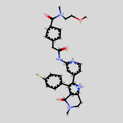 COCCN(C)C(=O)c1ccc(CC(=O)Nc2cc(-c3[nH]c4c(c3-c3ccc(F)cc3)C(=O)N(C)CC4)ccn2)cc1